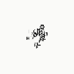 C[C@@H]1C[C@@H](CO)C[C@H]1Nc1nc(NCCCC(F)(F)F)nc(Cl)c1-c1nc2ccccc2s1